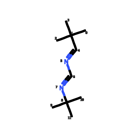 CC(C)(C)/C=N/C=N/C(C)(C)C